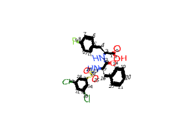 O=C(O)[C@H](Cc1ccc(F)cc1)NC(=O)[C@H](Cc1ccccc1)NS(=O)(=O)c1cc(Cl)cc(Cl)c1